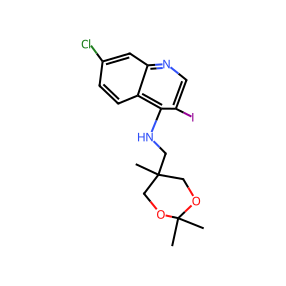 CC1(CNc2c(I)cnc3cc(Cl)ccc23)COC(C)(C)OC1